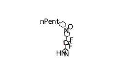 CCCCC[C@H]1CC[C@H](C(=O)N2CCC(c3ccc(-c4cn[nH]c4)c(F)c3F)CC2)CC1